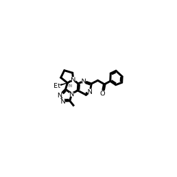 CC[C@@]12CCCN1c1nc(CC(=O)c3ccccc3)ncc1-n1c(C)nnc12